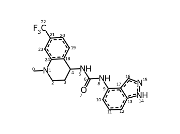 CN1CCC(NC(=O)Nc2cccc3[nH]ncc23)c2ccc(C(F)(F)F)cc21